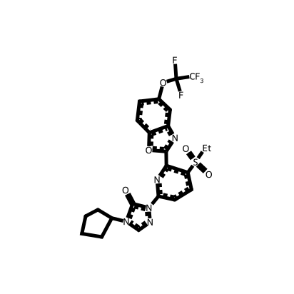 CCS(=O)(=O)c1ccc(-n2ncn(C3CCCC3)c2=O)nc1-c1nc2cc(OC(F)(F)C(F)(F)F)ccc2o1